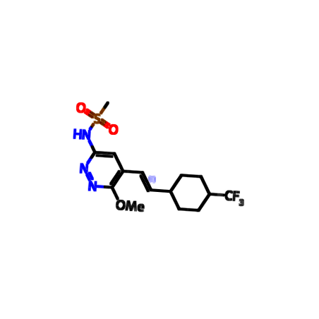 COc1nnc(NS(C)(=O)=O)cc1/C=C/C1CCC(C(F)(F)F)CC1